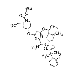 C[C@H](Oc1cc(O[C@H]2CCN(C(=O)OC(C)(C)C)[C@H](CC#N)C2)nc(C(N)=NOC(=O)C(C)(C)c2ccccc2F)n1)[C@@H]1C[C@@H](F)CN1C